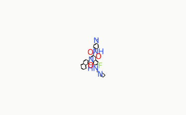 CN(C)c1ccc(NC(=O)c2cn3c4c(c(NCCN5CCCC5)c(F)cc4c2=O)Oc2c-3ccc3ccccc23)cc1